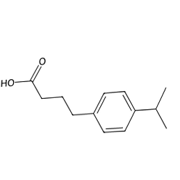 CC(C)c1ccc(CCCC(=O)O)cc1